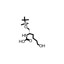 CC(C)(C)[Si](C)(C)OC[C@H](CCCCO)NC(=O)O